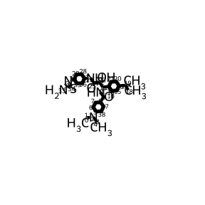 CCN(CC)c1ccc(C(=O)NC(c2ccc(C(C)C)cc2)C(O)C(=O)Nc2ccc3nc(N)sc3c2)cc1